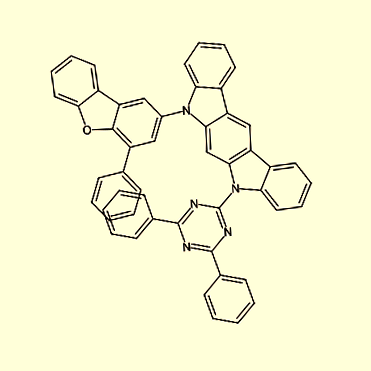 c1ccc(-c2nc(-c3ccccc3)nc(-n3c4ccccc4c4cc5c6ccccc6n(-c6cc(-c7ccccc7)c7oc8ccccc8c7c6)c5cc43)n2)cc1